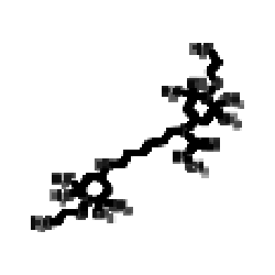 CCCON1C(C)(C)CC(NCCCCCCN(C(=N)NC)C2CC(C)(C)N(OCCC)C(C)(C)C2)CC1(C)C